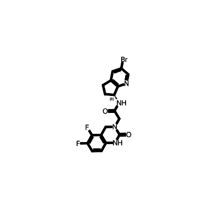 O=C(CN1Cc2c(ccc(F)c2F)NC1=O)N[C@@H]1CCc2cc(Br)cnc21